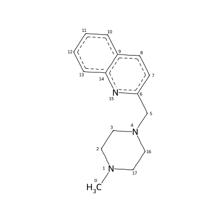 CN1CCN(Cc2ccc3ccccc3n2)CC1